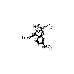 CN(C)S(=O)(=O)c1cc([N+](=O)[O-])ccc1C(N)=O